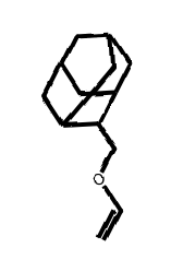 C=COCC1C2CC3CC(C2)CC1C3